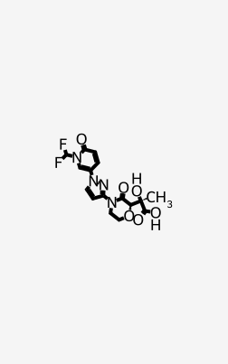 C[C@](O)(C(=O)O)[C@H]1OCCN(c2ccn(-c3ccc(=O)n(C(F)F)c3)n2)C1=O